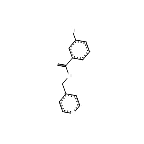 O=C(NCc1ccncc1)c1cccc(O)c1